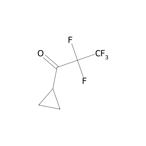 O=C(C1CC1)C(F)(F)C(F)(F)F